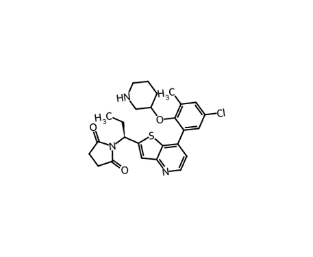 CC[C@@H](c1cc2nccc(-c3cc(Cl)cc(C)c3OC3CCCNC3)c2s1)N1C(=O)CCC1=O